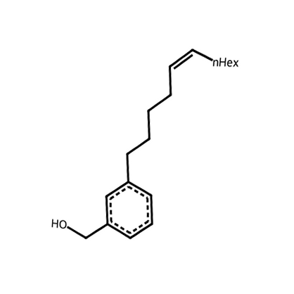 CCCCCC/C=C\CCCCc1cccc(CO)c1